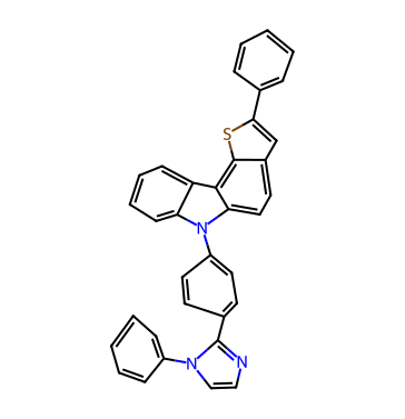 c1ccc(-c2cc3ccc4c(c5ccccc5n4-c4ccc(-c5nccn5-c5ccccc5)cc4)c3s2)cc1